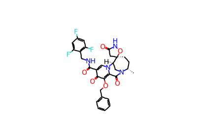 C[C@H]1CC[C@@]2(CC(=O)NO2)[C@H]2CN1C(=O)c1c(OCc3ccccc3)c(=O)c(C(=O)NCc3c(F)cc(F)cc3F)cn12